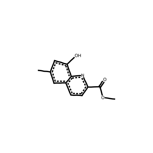 COC(=O)c1ccc2cc(C)cc(O)c2n1